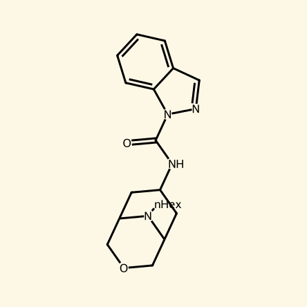 CCCCCCN1C2COCC1CC(NC(=O)n1ncc3ccccc31)C2